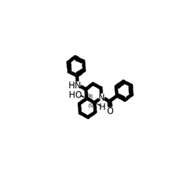 O=C(c1ccccc1)N1CCC(Nc2ccccc2)[C@]2(O)CCCC[C@H]12